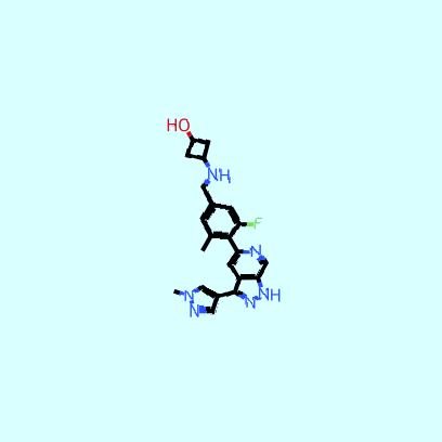 Cc1cc(CNC2CC(O)C2)cc(F)c1-c1cc2c(-c3cnn(C)c3)n[nH]c2cn1